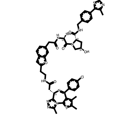 Cc1ncsc1-c1ccc(CNC(=O)[C@@H]2C[C@@H](O)CN2C(=O)[C@@H](NC(=O)Cc2ccc3cc(CCNC(=O)C[C@@H]4N=C(c5ccc(Cl)cc5)c5c(sc(C)c5C)-n5c(C)nnc54)oc3c2)C(C)(C)C)cc1